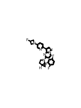 Fc1ccc(F)c([C@@]23C[C@@H]2CCN3c2ccn3ncc(-c4ccc(N5CC(F)C5)cn4)c3n2)c1